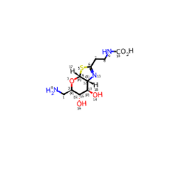 NC[C@H]1O[C@@H]2SC(CCNC(=O)O)=N[C@@H]2[C@@H](O)[C@@H]1O